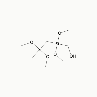 CO[Si](C)(C[Si](CO)(OC)OC)OC